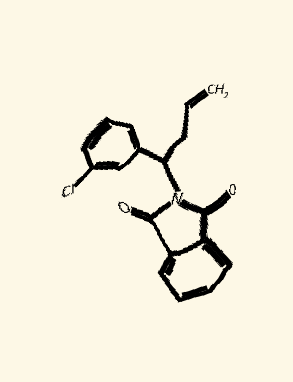 C=CCC(c1cccc(Cl)c1)N1C(=O)c2ccccc2C1=O